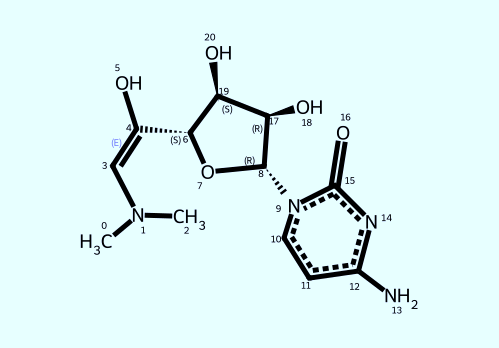 CN(C)/C=C(/O)[C@H]1O[C@@H](n2ccc(N)nc2=O)[C@H](O)[C@@H]1O